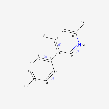 C=C(C)\C=C/C(=C\C)C(/C=N\C(=C)C)=C\C